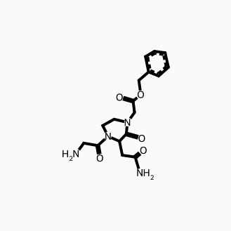 NCC(=O)N1CCN(CC(=O)OCc2ccccc2)C(=O)C1CC(N)=O